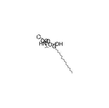 CCCCCCCCCCCCCCCCCCOC(CO)COC(=O)C(NC(=O)OCc1ccccc1)C(C)C